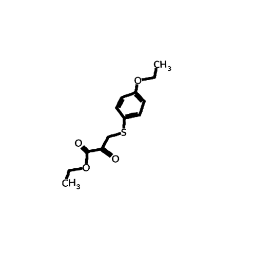 CCOC(=O)C(=O)CSc1ccc(OCC)cc1